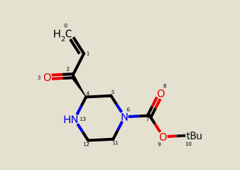 C=CC(=O)[C@H]1CN(C(=O)OC(C)(C)C)CCN1